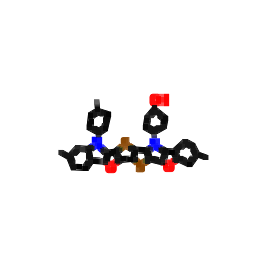 Cc1ccc(-n2c3cc(C)ccc3c3oc4c5sc6c7oc8cc(C)ccc8c7n(-c7ccc(O)cc7)c6c5sc4c32)cc1